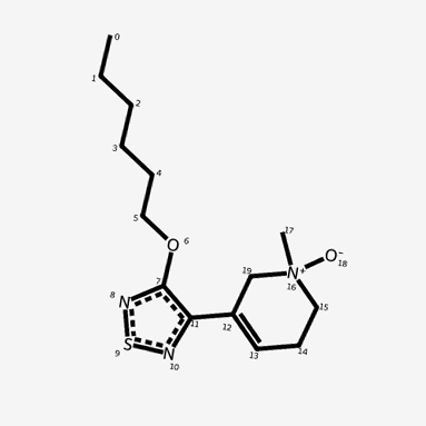 CCCCCCOc1nsnc1C1=CCC[N+](C)([O-])C1